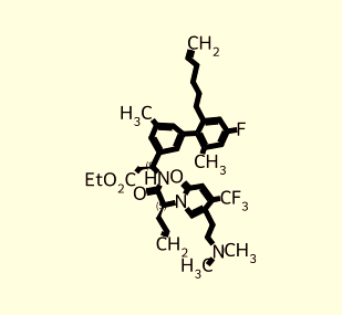 C=CCCCCc1cc(F)cc(C)c1-c1cc(C)cc([C@H](CC(=O)OCC)NC(=O)[C@H](CC=C)n2cc(CCN(C)C)c(C(F)(F)F)cc2=O)c1